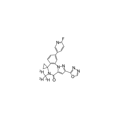 [2H]C([2H])([2H])N1C(=O)c2cc(-c3nnco3)nn2-c2cc(-c3ccc(F)nc3)ccc2C12CC2